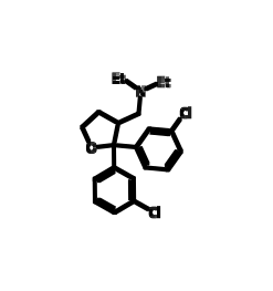 CCN(CC)CC1CCOC1(c1cccc(Cl)c1)c1cccc(Cl)c1